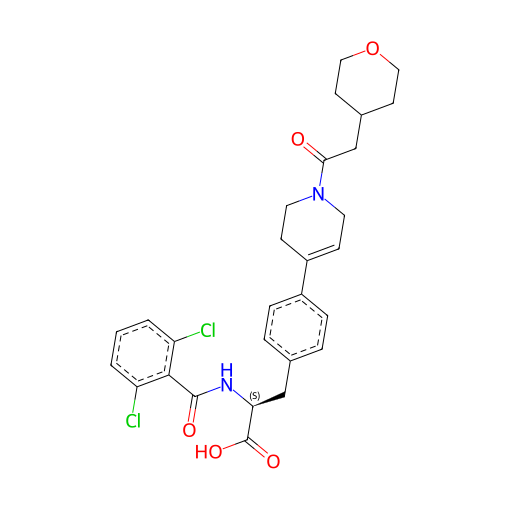 O=C(N[C@@H](Cc1ccc(C2=CCN(C(=O)CC3CCOCC3)CC2)cc1)C(=O)O)c1c(Cl)cccc1Cl